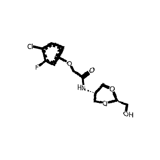 O=C(COc1ccc(Cl)c(F)c1)N[C@H]1CO[C@H](CO)OC1